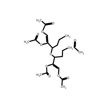 CC=O.CCCC(OC(CCC)C(=COC(C)=O)OC(C)=O)C(=COC(C)=O)OC(C)=O